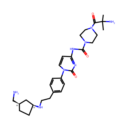 CC(C)(N)C(=O)N1CCN(C(=O)Nc2ccn(-c3ccc(CCN[C@H]4CC[C@@H](CN)C4)cc3)c(=O)n2)CC1